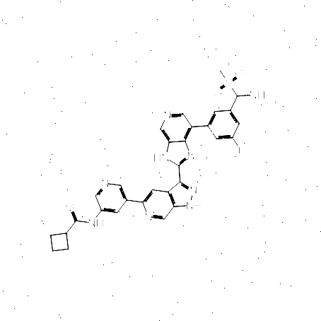 CS(=O)(=O)C(N)c1cc(F)cc(-c2cncc3[nH]c(-c4n[nH]c5cnc(-c6cncc(NC(=O)C7CCC7)c6)cc45)nc23)c1